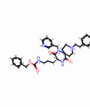 O=C(NCCC[C@@H]1NC(=O)C2(CCN(CCc3ccccc3)CC2)N(Cc2cccnc2)C1=O)OCc1ccccc1